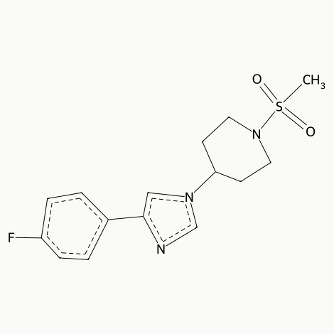 CS(=O)(=O)N1CCC(n2cnc(-c3ccc(F)cc3)c2)CC1